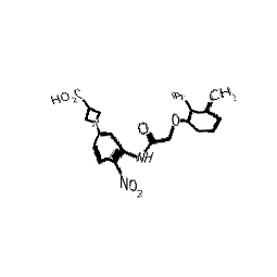 CC(C)C1C(C)CCCC1OCC(=O)Nc1cc(N2CC(C(=O)O)C2)ccc1[N+](=O)[O-]